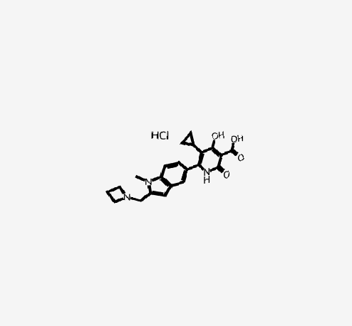 Cl.Cn1c(CN2CCC2)cc2cc(-c3[nH]c(=O)c(C(=O)O)c(O)c3C3CC3)ccc21